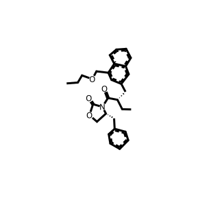 CCCOCc1cc(C[C@H](CC)C(=O)N2C(=O)OC[C@H]2Cc2ccccc2)cc2ccccc12